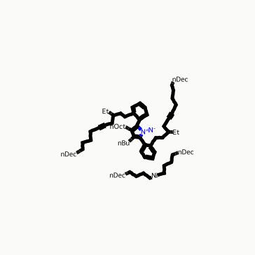 CCCCCCCCCCCCCCC#CCC(CC)CCc1ccccc1C1=C(CCCC)C(CCCCCCCC)=C(c2ccccc2CCC(CC)CC#CCCCCCCCCCCCCCC)[N+]1=[N-].CCCCCCCCCCCCC[CH2][Ni][CH2]CCCCCCCCCCCCC